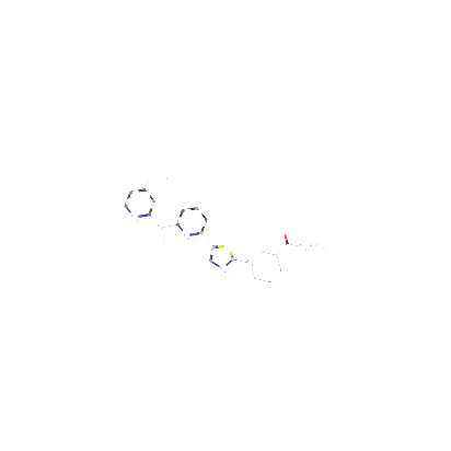 CNC(=O)C1CCCN(c2ncc(-c3cccc(Nc4cc(C)ccn4)n3)s2)C1